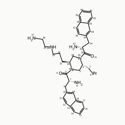 CC(C)C[C@@H]1CN(C(=O)[C@H](N)Cc2ccc3ccccc3c2)[C@@H](CCCNCCN)CN1C(=O)[C@H](N)Cc1ccc2ccccc2c1